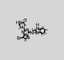 O=C1CN(c2nc(NCc3nc4ccccc4[nH]3)n3ncc(Br)c3n2)CCN1